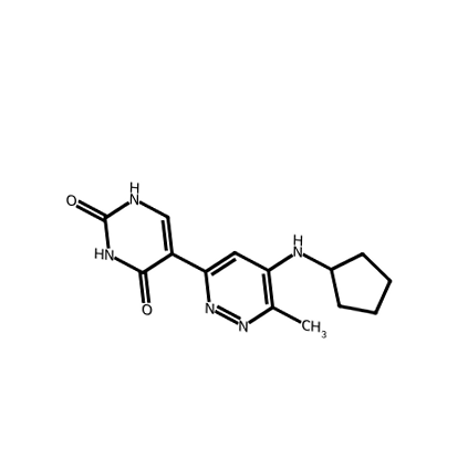 Cc1nnc(-c2c[nH]c(=O)[nH]c2=O)cc1NC1CCCC1